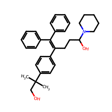 CC(C)(CO)c1ccc(C(CCC(O)N2CCCCC2)=C(c2ccccc2)c2ccccc2)cc1